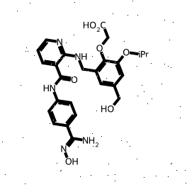 CC(C)Oc1cc(CO)cc(CNc2ncccc2C(=O)Nc2ccc(/C(N)=N/O)cc2)c1OCC(=O)O